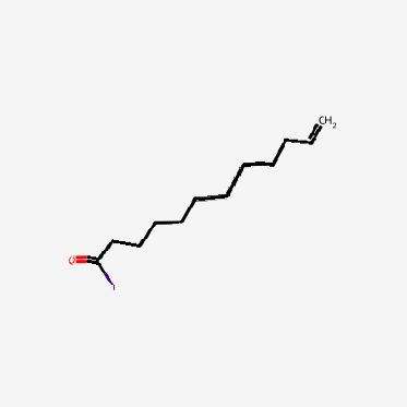 C=CCCCCCCCCCC(=O)I